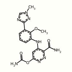 COc1c(Nc2cc(OC(N)=O)nnc2C(N)=O)cccc1-c1ncn(C)n1